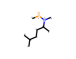 CPN(C)C(C)CCC(C)C